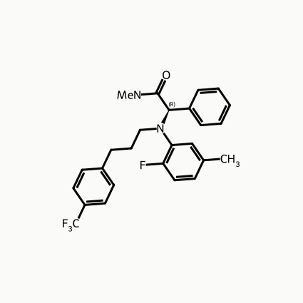 CNC(=O)[C@@H](c1ccccc1)N(CCCc1ccc(C(F)(F)F)cc1)c1cc(C)ccc1F